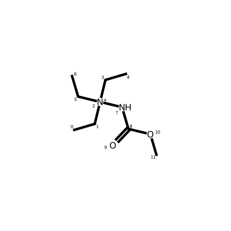 CC[N+](CC)(CC)NC(=O)OC